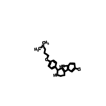 CN(C)CCCOc1ccc(C2NCCc3c2[nH]c2ccc(Cl)cc32)cc1